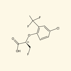 CC(F)(F)c1cc(Cl)ccc1O[C@@H](CF)C(=O)O